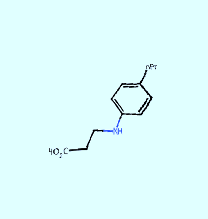 CCCc1ccc(NCCC(=O)O)cc1